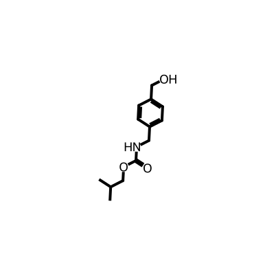 CC(C)COC(=O)NCc1ccc(CO)cc1